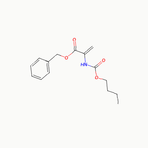 C=C(NC(=O)OCCCC)C(=O)OCc1ccccc1